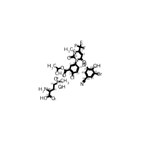 CC(C)OC(=O)c1cc(-n2c(=O)cc(C(F)(F)F)n(C)c2=O)ccc1Cl.CP(=O)(O)CCC(N)C(=O)O.N#Cc1cc(Br)c(O)c(Br)c1